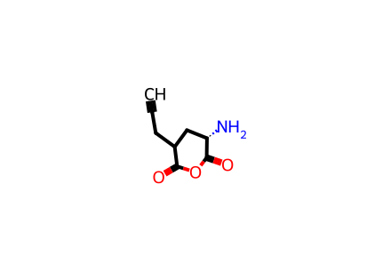 C#CCC1C[C@H](N)C(=O)OC1=O